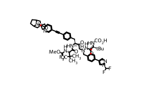 COC(=O)N[C@H](C(=O)N[C@@H](Cc1ccc(C#Cc2ccc(N3CC4CCC(C3)N4C3COC3)nc2)cc1)[C@@H](O)CN(Cc1ccc(-c2cnn(C(F)F)c2)cc1F)NC(=O)[C@@H](NC(=O)O)C(C)(C)C)C(C)(C)C(F)(F)F